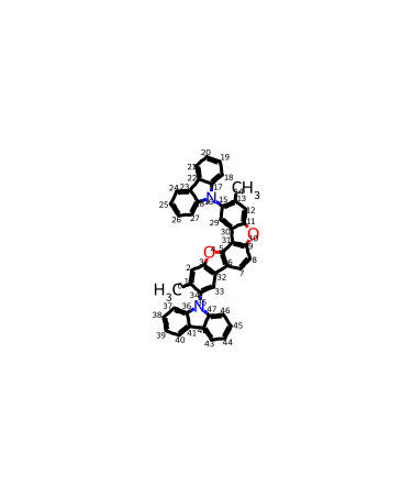 Cc1cc2oc3c(ccc4oc5cc(C)c(-n6c7ccccc7c7ccccc76)cc5c43)c2cc1-n1c2ccccc2c2ccccc21